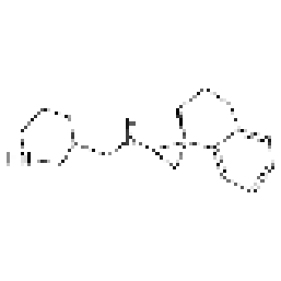 c1ccc2c(c1)CCC[C@]21CC1NCC1CCCNC1